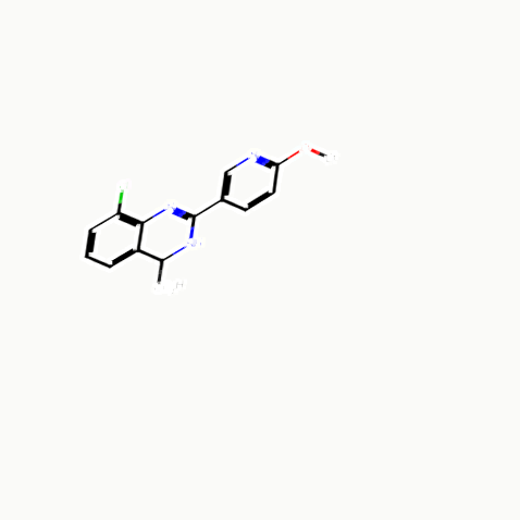 CCOc1ccc(C2=Nc3c(Cl)cccc3C(C(=O)O)N2)cn1